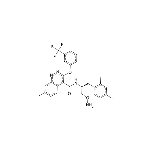 Cc1ccc(C[C@@H](CON)NC(=O)c2c(Oc3cccc(C(F)(F)F)c3)nnc3cc(C)ccc23)c(C)c1